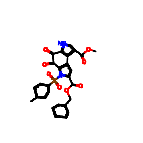 COC(=O)c1c[nH]c2c1-c1cc(C(=O)OCc3ccccc3)n(S(=O)(=O)c3ccc(C)cc3)c1C(=O)C2=O